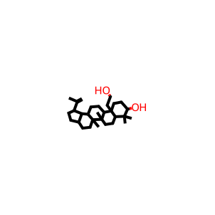 C=C(C)C1CCC2CCC3(C)C(CCC4C5(CCO)CCC(O)C(C)(C)C5CCC43C)C21